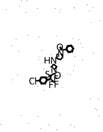 O=C(c1ccccc1)N1CC[C@H](NC2CN(C(=O)c3sc4cc(Cl)ccc4c3C(F)(F)F)C2)C1